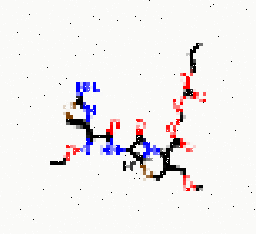 CCCOC(=O)OCOC(=O)C1=C(COC)CS[C@H]2C(NC(=O)C(=NOCC)c3csc(N)n3)C(=O)N12